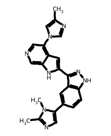 Cc1cn(-c2cncc3[nH]c(-c4n[nH]c5ccc(-c6cnc(C)n6C)cc45)cc23)cn1